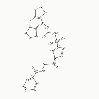 O=C(Nc1c2c(cc3c1CCC3)CCC2)NS(=O)(=O)c1ccn(C(=O)CNC(=O)c2ccccc2)n1